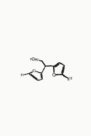 CCCCCCCCCCCC(c1ccc(CC)o1)c1ccc(CC)o1